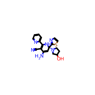 N#CC1=C(c2ccccn2)N[C@](c2nccs2)(N2CCC(O)C2)C=C1N